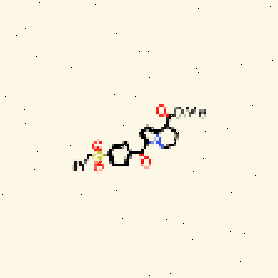 COC(=O)C1CCCn2c(C(=O)c3ccc(S(=O)(=O)CC(C)C)cc3)ccc21